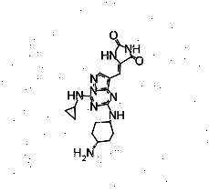 N[C@H]1CC[C@H](Nc2nc(NC3CC3)n3ncc(/C=C4\NC(=O)NC4=O)c3n2)CC1